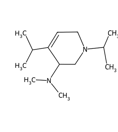 CC(C)C1=CCN(C(C)C)CC1N(C)C